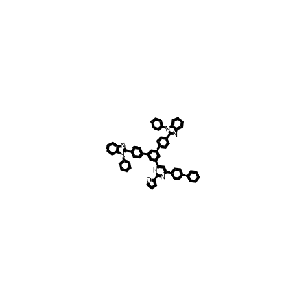 c1ccc(-c2ccc(-c3cc(-c4cc(-c5ccc(-c6nc7ccccc7n6-c6ccccc6)cc5)cc(-c5ccc(-c6nc7ccccc7n6-c6ccccc6)cc5)c4)nc(-c4ccco4)n3)cc2)cc1